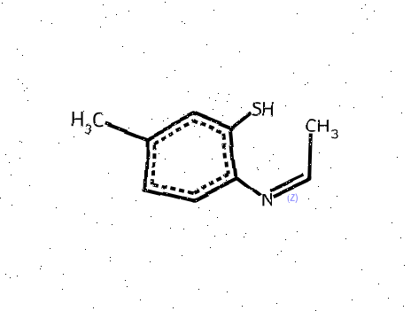 C/C=N\c1ccc(C)cc1S